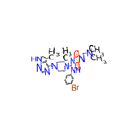 Cc1c[nH]c2ncnc(N3CCN(C(=NS(=O)(=O)N=CN(C)C)Nc4cccc(Br)c4)[C@@H](C)C3)c12